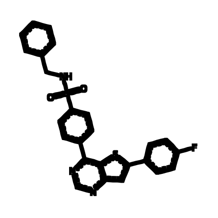 O=S(=O)(NCc1ccccc1)c1ccc(-c2ncnc3cc(-c4ccc(F)cc4)sc23)cc1